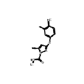 CCNC(=O)n1nc(Oc2ccc(N=O)c(C)c2)cc1C